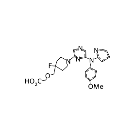 COc1ccc(N(c2ccccn2)c2cncc(N3CCC(F)(COCC(=O)O)CC3)n2)cc1